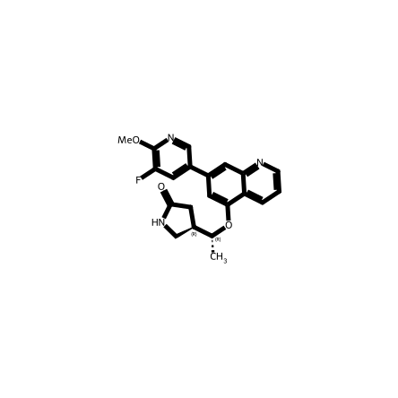 COc1ncc(-c2cc(O[C@H](C)[C@H]3CNC(=O)C3)c3cccnc3c2)cc1F